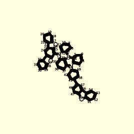 c1ccc2c(c1)B1c3ccccc3N(c3c4oc5ccccc5c4cc4c3oc3ccccc34)c3cccc(c31)N2c1ccc(-c2ccc3oc4ccccc4c3c2)cc1